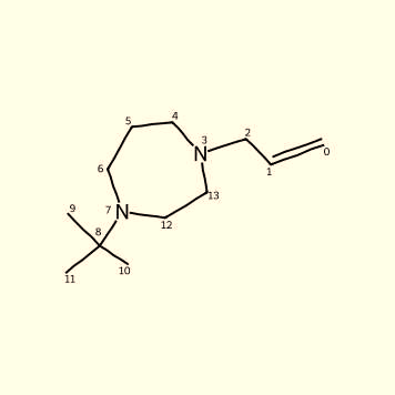 C=CCN1CCCN(C(C)(C)C)CC1